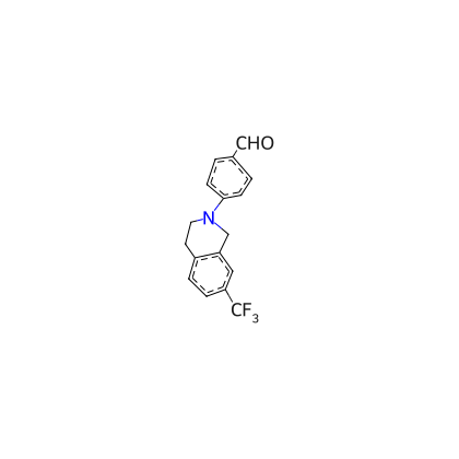 O=Cc1ccc(N2CCc3ccc(C(F)(F)F)cc3C2)cc1